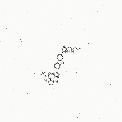 CCCNCc1ncc(-c2ccc3c(c2)oc2cc(-c4cnc([C@@H]5[C@H]6CC[C@H](C6)N5C(=O)OC(C)(C)C)[nH]4)ccc23)[nH]1